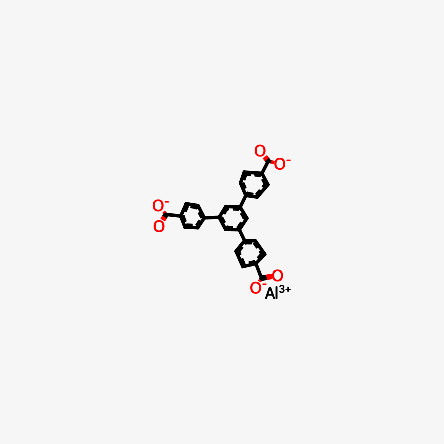 O=C([O-])c1ccc(-c2cc(-c3ccc(C(=O)[O-])cc3)cc(-c3ccc(C(=O)[O-])cc3)c2)cc1.[Al+3]